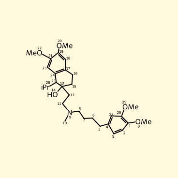 COc1ccc(CCCCN(C)CCC2(O)CCc3cc(OC)c(OC)cc3C2C(C)C)cc1OC